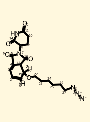 [2H]C1=CC=C2C(=O)N(C3CCC(=O)NC3=O)C(=O)C2C1([2H])OCCCCCCN=[N+]=[N-]